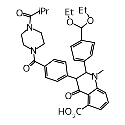 CCOC(OCC)c1ccc(C2C(c3ccc(C(=O)N4CCN(C(=O)C(C)C)CC4)cc3)C(=O)c3c(C(=O)O)cccc3N2C)cc1